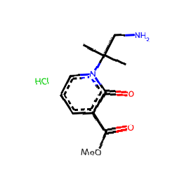 COC(=O)c1cccn(C(C)(C)CN)c1=O.Cl